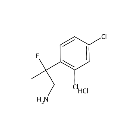 CC(F)(CN)c1ccc(Cl)cc1Cl.Cl